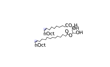 CCCCCCCC/C=C\CCCCCCCC(=O)O.CCCCCCCC/C=C\CCCCCCCCCCCC(=O)OC(CO)CO